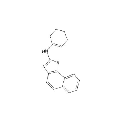 C1=C(Nc2nc3ccc4ccccc4c3s2)CCCC1